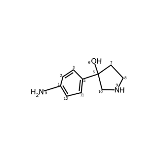 Nc1ccc(C2(O)CCNC2)cc1